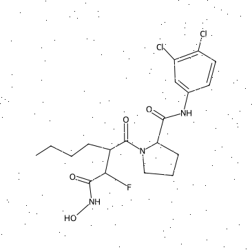 CCCCC(C(=O)N1CCCC1C(=O)Nc1ccc(Cl)c(Cl)c1)C(F)C(=O)NO